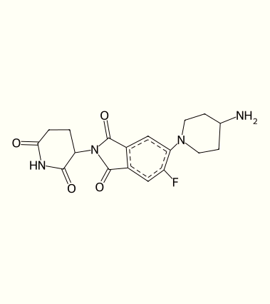 NC1CCN(c2cc3c(cc2F)C(=O)N(C2CCC(=O)NC2=O)C3=O)CC1